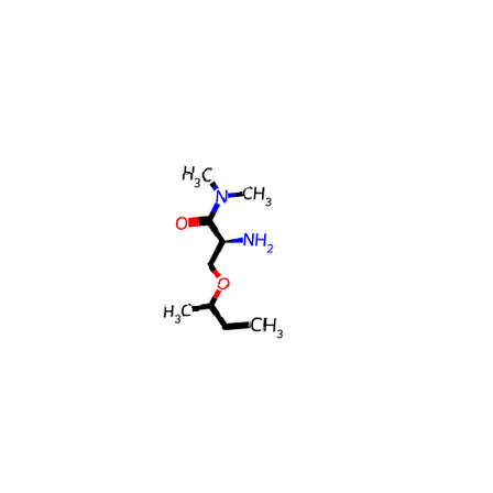 CCC(C)OC[C@H](N)C(=O)N(C)C